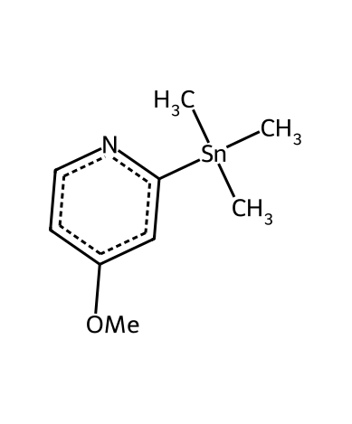 COc1ccn[c]([Sn]([CH3])([CH3])[CH3])c1